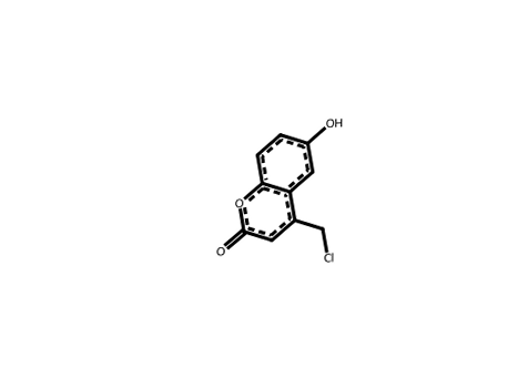 O=c1cc(CCl)c2cc(O)ccc2o1